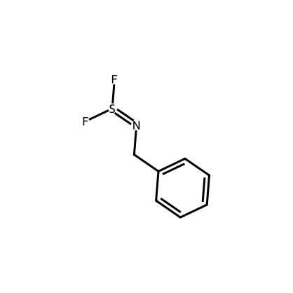 FS(F)=NCc1ccccc1